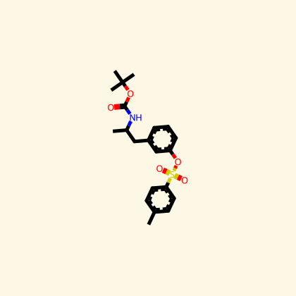 Cc1ccc(S(=O)(=O)Oc2cccc(CC(C)NC(=O)OC(C)(C)C)c2)cc1